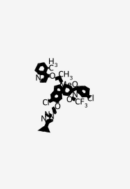 COC(=O)C1(N(C(=O)C(F)(F)F)c2cccc(Cl)c2)CCC2(CC1)c1cc(OCCn3cc(C4CC4)nn3)c(Cl)cc1C[C@@H]2C[C@@H](C)COc1ccnc2c1[C@H](C)CCC2